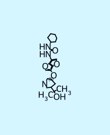 CC(C)(O)C1C=NC[C@@H](Oc2coc3c(NC(=O)NC4CCCCC4)coc23)C1